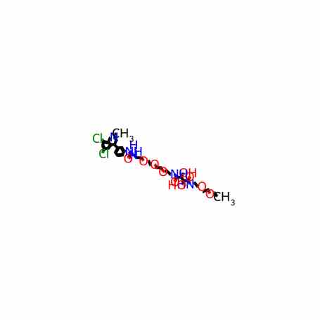 CCOCCOCCNC(=O)C(O)C(O)C(=O)NCCOCCOCCOCCNC(=O)Nc1cccc(C2CN(C)Cc3c(Cl)cc(Cl)cc32)c1